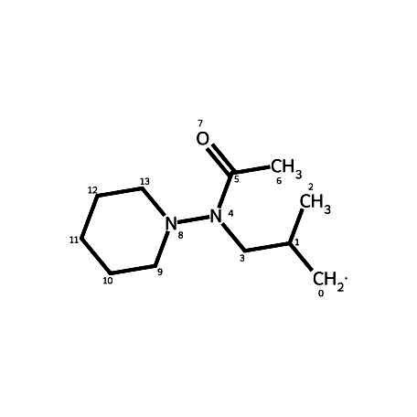 [CH2]C(C)CN(C(C)=O)N1CCCCC1